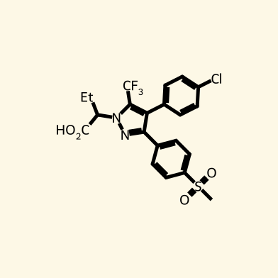 CCC(C(=O)O)n1nc(-c2ccc(S(C)(=O)=O)cc2)c(-c2ccc(Cl)cc2)c1C(F)(F)F